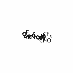 Cc1cc(C(F)(F)F)nn1C(C=O)N1CCC(c2nc(C3=NO[C@H](c4c(F)cccc4F)C3)cs2)CC1